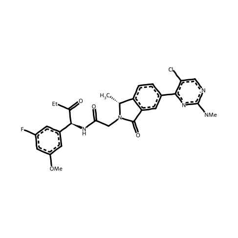 CCC(=O)[C@@H](NC(=O)CN1C(=O)c2cc(-c3nc(NC)ncc3Cl)ccc2[C@H]1C)c1cc(F)cc(OC)c1